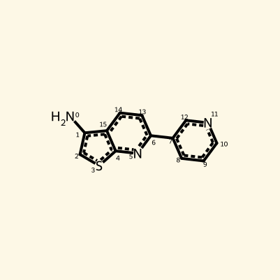 Nc1csc2nc(-c3cccnc3)ccc12